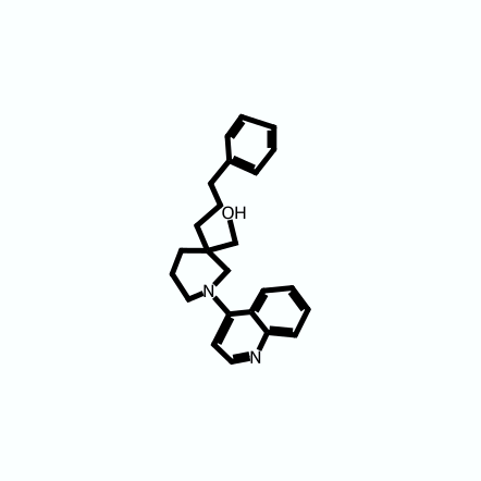 OCC1(CCCc2ccccc2)CCCN(c2ccnc3ccccc23)C1